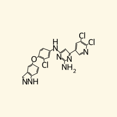 Nc1nc(Nc2ccc(Oc3ccc4[nH]ncc4c3)c(Cl)c2)cc(-c2cnc(Cl)c(Cl)c2)n1